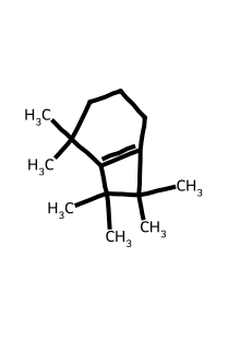 CC1(C)CCCC2=C1C(C)(C)C2(C)C